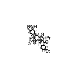 CCc1ccc(F)c(C(=O)NC(C(=O)N2CCC3(CC2)C(=O)N(C)CN3c2ccc3[nH]ncc3c2)C(C)C)c1